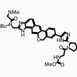 CC[C@H](C)N(Cc1nc2ccc3cc4c(cc3c2[nH]1)OCc1cc(-c2cnc([C@@H]3CCCN3C(=O)CNC(=O)OC)[nH]2)ccc1-4)C(=O)CNC